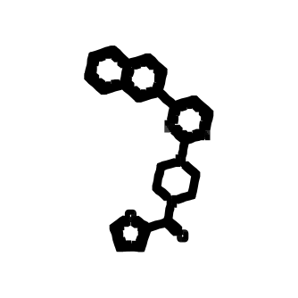 O=C(c1ccco1)N1CCN(c2nccc(-c3ccc4ccccc4c3)n2)CC1